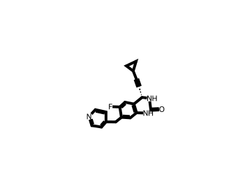 O=C1Nc2cc(Cc3ccncc3)c(F)cc2[C@H](C#CC2CC2)N1